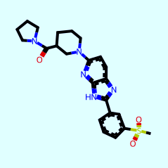 CS(=O)(=O)c1cccc(-c2nc3ccc(N4CCCC(C(=O)N5CCCC5)C4)nc3[nH]2)c1